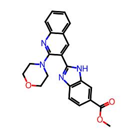 COC(=O)c1ccc2nc(-c3cc4ccccc4nc3N3CCOCC3)[nH]c2c1